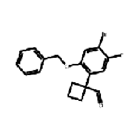 O=CC1(c2cc(F)c(Br)cc2OCc2ccccc2)CCC1